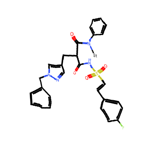 CCN(C(=O)C(Cc1cnn(Cc2ccccc2)c1)C(=O)NS(=O)(=O)C=Cc1ccc(F)cc1)c1ccccc1